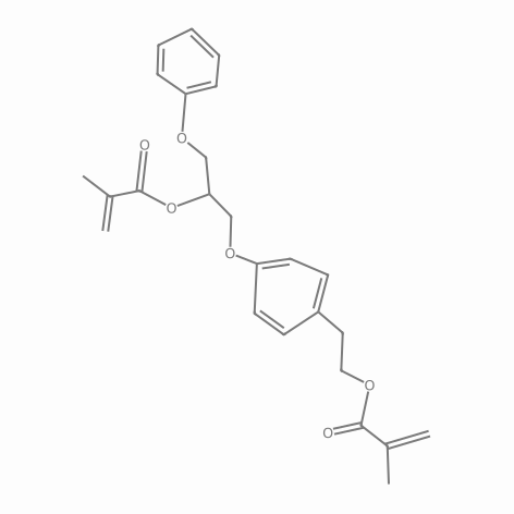 C=C(C)C(=O)OCCc1ccc(OCC(COc2ccccc2)OC(=O)C(=C)C)cc1